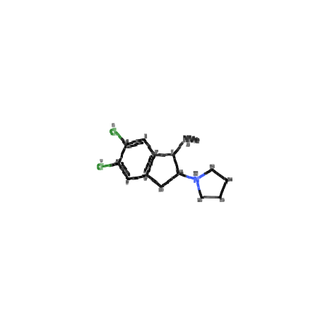 CNC1c2cc(Cl)c(Cl)cc2CC1N1CCCC1